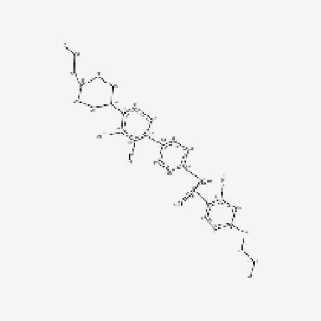 CCCCc1ccc(C(=O)Oc2ccc(-c3ccc(C4CCC(CCC)CC4)c(F)c3F)cc2)c(F)c1